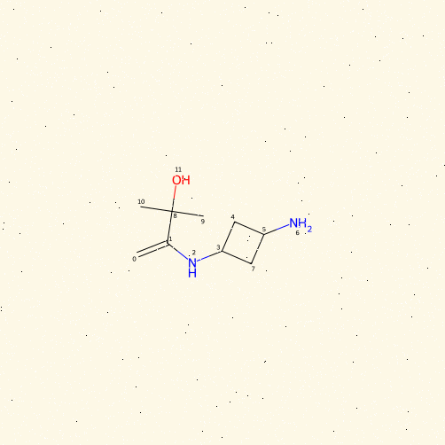 C=C(NC1CC(N)C1)C(C)(C)O